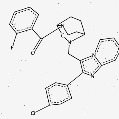 O=C(c1ccccc1F)N1CCC2CCC1CN2Cc1c(-c2ccc(Cl)cc2)nc2ccccn12